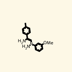 COc1cccc(N(N)/C=C(\N)c2ccc(C)cc2)c1